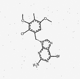 COc1cc(Cn2cnc3c(Br)nc(N)nc32)c(Cl)c(OC)c1C